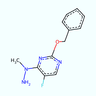 CN(N)c1nc(OCc2ccccc2)ncc1F